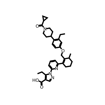 CCc1cc(OCC2=C(c3cccc(-n4ncc(C(=O)O)c4CC)n3)CCCC2C)ccc1C1CCN(C(=O)C2CC2)CC1